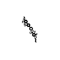 CCCCOc1ccc(C(=O)OC2CCC(c3ccc(-c4ccc(OCC)c(F)c4F)c(F)c3)CC2)c(F)c1F